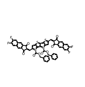 O=C1C(=Cc2cc3c(s2)c2sc4cc(C=C5C(=O)c6cc7cc(F)c(F)cc7cc6C5=O)n(C(=O)OCc5ccccc5)c4c2n3C(=O)OCc2ccccc2)C(=O)c2cc3cc(F)c(F)cc3cc21